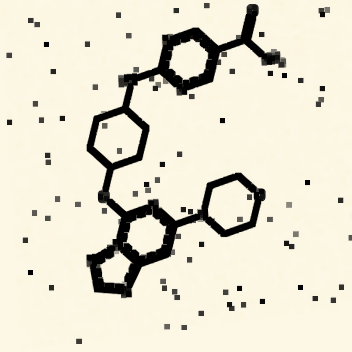 NC(=O)c1cnc(NC2CCC(Oc3nc(N4CCOCC4)cc4ncnn34)CC2)nc1